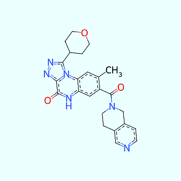 Cc1cc2c(cc1C(=O)N1CCc3cnccc3C1)[nH]c(=O)c1nnc(C3CCOCC3)n12